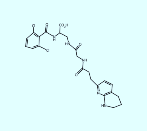 O=C(CCc1ccc2c(n1)NCCC2)NCC(=O)NCC(NC(=O)c1c(Cl)cccc1Cl)C(=O)O